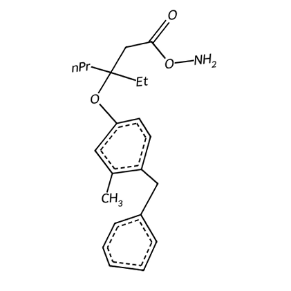 CCCC(CC)(CC(=O)ON)Oc1ccc(Cc2ccccc2)c(C)c1